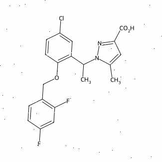 Cc1cc(C(=O)O)nn1C(C)c1cc(Cl)ccc1OCc1ccc(F)cc1F